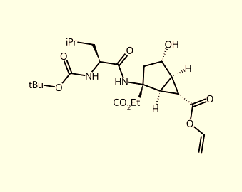 C=COC(=O)[C@H]1[C@H]2[C@@H]1[C@@](NC(=O)[C@H](CC(C)C)NC(=O)OC(C)(C)C)(C(=O)OCC)C[C@@H]2O